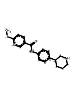 CSc1ccc(C(=O)Nc2ccc(C3CCCNC3)cc2)cn1